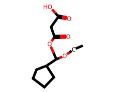 CCOC(OC(=O)CC(=O)O)C1CCCC1